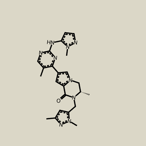 Cc1cc(CN2C(=O)c3cc(-c4nc(Nc5ccnn5C)ncc4C)cn3C[C@@H]2C)n(C)n1